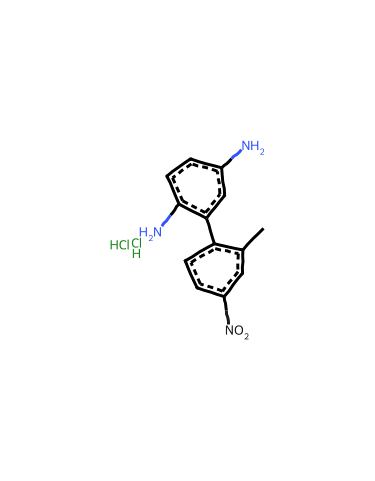 Cc1cc([N+](=O)[O-])ccc1-c1cc(N)ccc1N.Cl.Cl